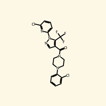 O=C(c1cnn(-c2cccc(Cl)n2)c1C(F)(F)F)N1CCN(c2ccccc2Cl)CC1